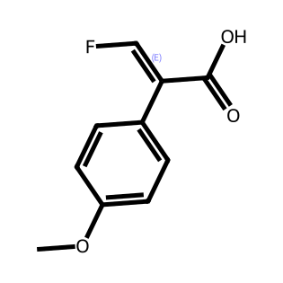 COc1ccc(/C(=C\F)C(=O)O)cc1